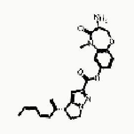 C=C(/C=C\C=C/C)[C@H]1CCn2nc(C(=O)Oc3ccc4c(c3)N(C)C(=O)[C@@H](N)CO4)cc21